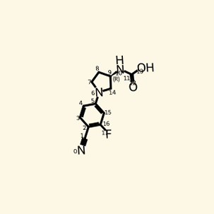 N#Cc1ccc(N2CC[C@@H](NC(=O)O)C2)cc1F